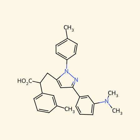 Cc1ccc(-n2nc(-c3cccc(N(C)C)c3)cc2CC(C(=O)O)c2cccc(C)c2)cc1